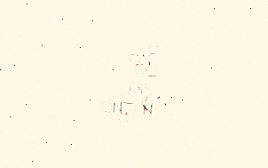 CC1(C)c2ccccc2N(c2ccc3c(c2)C2(c4ccccc4-c4ccccc42)c2c(C#N)c(C#N)c4c(c2CC3)C2(c3cc(N5c6ccccc6C(C)(C)c6ccccc65)ccc3CC4)c3ccccc3-c3ccccc32)c2ccccc21